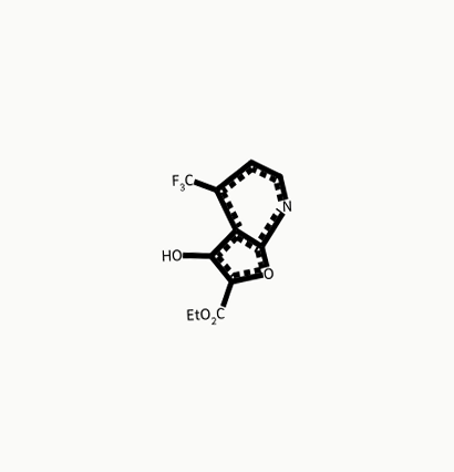 CCOC(=O)c1oc2nccc(C(F)(F)F)c2c1O